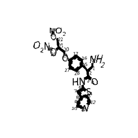 NCC(C(=O)Nc1cc2ccncc2s1)c1ccc(OCC(CO[N+](=O)[O-])O[N+](=O)[O-])cc1